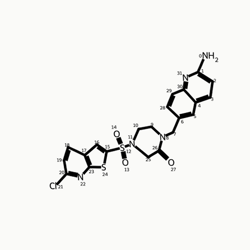 Nc1ccc2cc(CN3CCN(S(=O)(=O)c4cc5ccc(Cl)nc5s4)CC3=O)ccc2n1